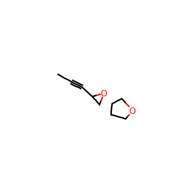 C1CCOC1.CC#CC1CO1